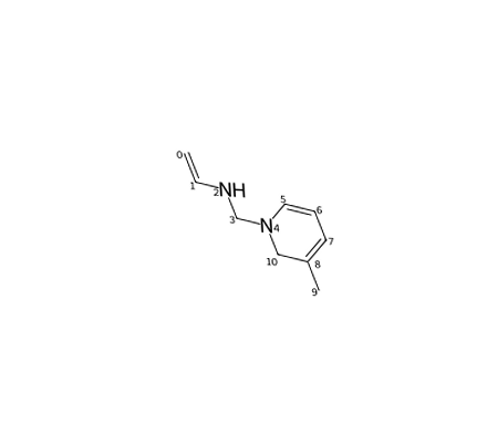 C=CNCN1C=CC=C(C)C1